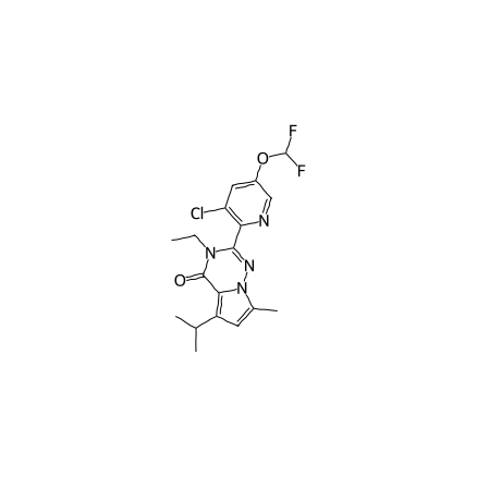 CCn1c(-c2ncc(OC(F)F)cc2Cl)nn2c(C)cc(C(C)C)c2c1=O